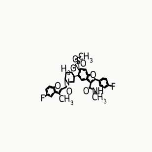 CNC(=O)c1c(-c2ccc(F)cc2)oc2cc(N(C)S(C)(=O)=O)c([C@@H]3CCCN(C(=O)c4oc5ccc(F)cc5c4C)C3)cc12